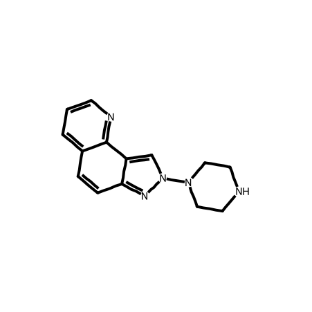 c1cnc2c(c1)ccc1nn(N3CCNCC3)cc12